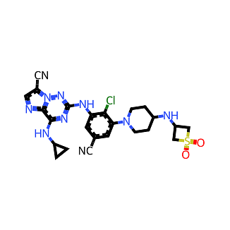 N#Cc1cc(Nc2nc(NC3CC3)c3ncc(C#N)n3n2)c(Cl)c(N2CCC(NC3CS(=O)(=O)C3)CC2)c1